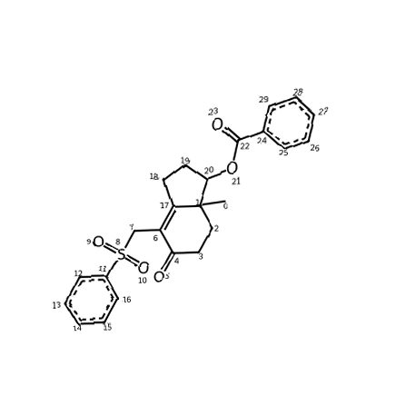 CC12CCC(=O)C(CS(=O)(=O)c3ccccc3)=C1CCC2OC(=O)c1ccccc1